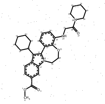 COC(=O)c1ccc2c(C3CCCCC3)c3n(c2c1)CCOc1c(NCC(=O)N2CCCCC2)cccc1-3